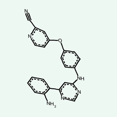 N#Cc1cc(Oc2ccc(Nc3cc(-c4ccccc4N)ncn3)cc2)ccn1